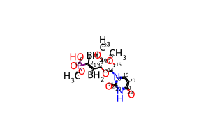 B/C(=C(/B)P(=O)(O)OC)[C@H](COC)O[C@H](COC)n1ccc(=O)[nH]c1=O